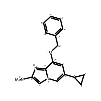 CNc1cn2cc(C3CC3)cc(OCc3ccccc3)c2n1